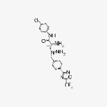 N/C(=C\N(N)Cc1ccc(-c2noc(C(F)(F)F)n2)cc1)C(=O)Nc1ccc(Cl)cc1